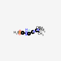 CCC1CC(N2CCC(c3ccc4nc(-c5ccc(S(C)(=O)=O)cc5)[nH]c4c3F)CC2)CC(C)N1C(C)C